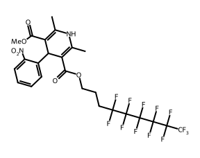 COC(=O)C1=C(C)NC(C)=C(C(=O)OCCCC(F)(F)C(F)(F)C(F)(F)C(F)(F)C(F)(F)C(F)(F)F)C1c1ccccc1[N+](=O)[O-]